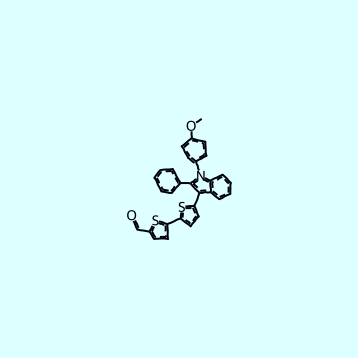 COc1ccc(-n2c(-c3ccccc3)c(-c3ccc(-c4ccc(C=O)s4)s3)c3ccccc32)cc1